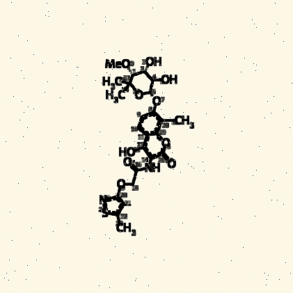 CO[C@@H]1[C@H](O)[C@@H](O)[C@H](Oc2ccc3c(O)c(NC(=O)COc4cc(C)sn4)c(=O)oc3c2C)OC1(C)C